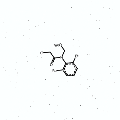 CCc1cccc(C(C)CC)c1N(COC)C(=O)CCl